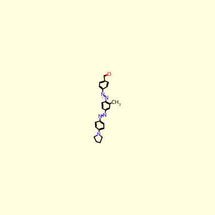 Cc1cc(/N=N/c2ccc(N3CCCC3)cc2)ccc1/N=N/c1ccc(C=O)cc1